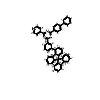 c1ccc(-c2ccc(-c3nc(-c4ccncc4)nc(-c4cccc(-c5cccc6c5-c5ccccc5C65c6ccccc6-c6ccccc65)c4)n3)cc2)cc1